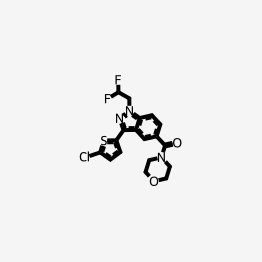 O=C(c1ccc2c(c1)c(-c1ccc(Cl)s1)nn2CC(F)F)N1CCOCC1